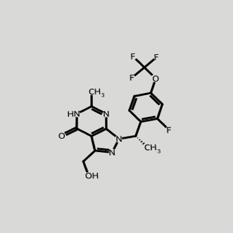 Cc1nc2c(c(CO)nn2[C@@H](C)c2ccc(OC(F)(F)F)cc2F)c(=O)[nH]1